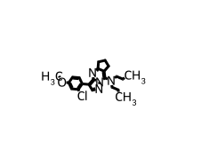 CCCN(CCC)c1c2c(nc3c(-c4ccc(OC)cc4Cl)cnn13)CCC2